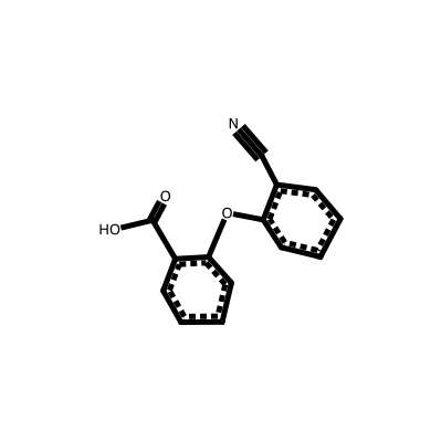 N#Cc1ccccc1Oc1ccccc1C(=O)O